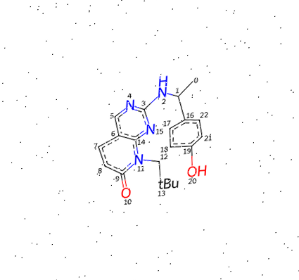 CC(Nc1ncc2ccc(=O)n(CC(C)(C)C)c2n1)c1ccc(O)cc1